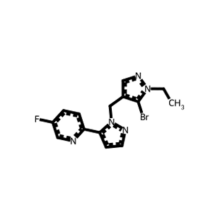 CCn1ncc(Cn2nccc2-c2ccc(F)cn2)c1Br